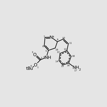 CC(C)(C)OC(=O)NC1=CC=NC(/C=C\c2cccc(N)c2)C1